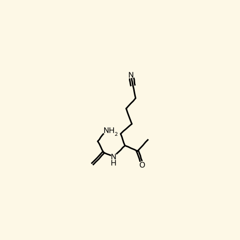 C=C(CN)NC(CCCCC#N)C(C)=O